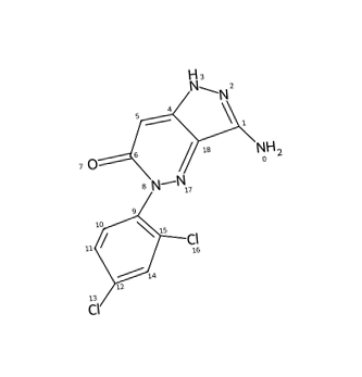 Nc1n[nH]c2cc(=O)n(-c3ccc(Cl)cc3Cl)nc12